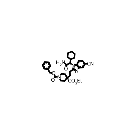 CCOC(=O)C1(CCc2nc3cc(C#N)ccc3n2C(C(N)=O)C2CCCCC2)CCN(C(=O)OCc2ccccc2)CC1